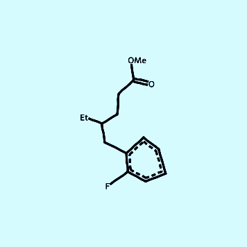 CCC(CCC(=O)OC)Cc1ccccc1F